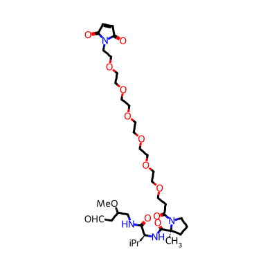 COC(CC=O)CNC(=O)[C@@H](NC(=O)[C@]1(C)CCCN1C(=O)CCOCCOCCOCCOCCOCCOCCN1C(=O)C=CC1=O)C(C)C